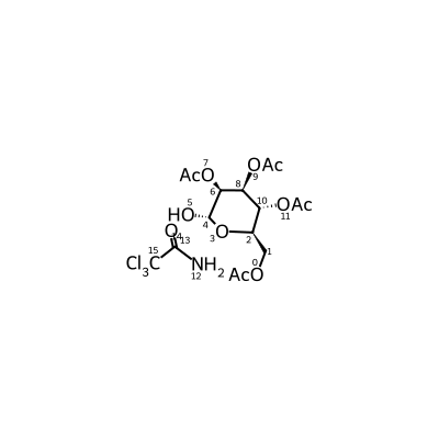 CC(=O)OC[C@H]1O[C@H](O)[C@@H](OC(C)=O)[C@@H](OC(C)=O)[C@@H]1OC(C)=O.NC(=O)C(Cl)(Cl)Cl